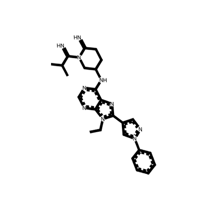 CCn1c(-c2cnn(-c3ccccc3)c2)nc2c(NC3CCC(=N)N(C(=N)C(C)C)C3)ncnc21